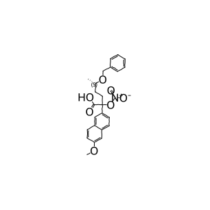 COc1ccc2cc(C(CC[C@H](C)OCc3ccccc3)(O[N+](=O)[O-])C(=O)O)ccc2c1